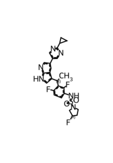 C[C@@H](c1c(F)ccc(NS(=O)(=O)N2CC[C@@H](F)C2)c1F)c1c[nH]c2ncc(-c3cnc(C4CC4)nc3)cc12